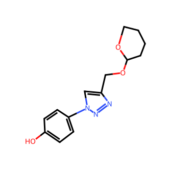 Oc1ccc(-n2cc(COC3CCCCO3)nn2)cc1